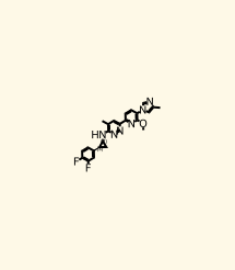 COc1nc(-c2cc(C)c(N[C@@H]3C[C@H]3c3ccc(F)c(F)c3)nn2)ccc1-n1cnc(C)c1